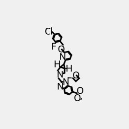 COC(=O)c1ccc2nc(CN3C[C@@H]4C(c5cccc(OCc6ccc(Cl)cc6F)n5)[C@@H]4C3)n(C[C@@H]3CCO3)c2c1